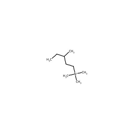 CCC(C)CC[N+](C)(C)C